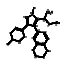 CC1CC=C(c2nn(C)c(C(OC(C)(C)C)C(=O)O)c2-c2ccc3c(c2)CCCO3)CC1